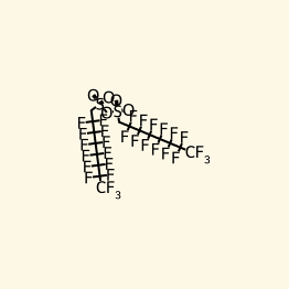 O=S(=O)(CC(F)(F)C(F)(F)C(F)(F)C(F)(F)C(F)(F)C(F)(F)C(F)(F)F)OS(=O)(=O)CC(F)(F)C(F)(F)C(F)(F)C(F)(F)C(F)(F)C(F)(F)C(F)(F)F